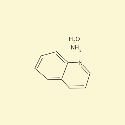 N.O.c1ccc2ncccc2c1